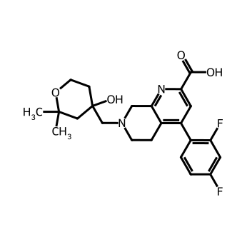 CC1(C)CC(O)(CN2CCc3c(-c4ccc(F)cc4F)cc(C(=O)O)nc3C2)CCO1